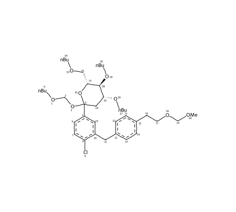 CCCCOCOC1(c2ccc(Cl)c(Cc3ccc(CCOCOC)cc3)c2)C[C@@H](OCCCC)[C@H](OCCCC)[C@@H](COCCCC)O1